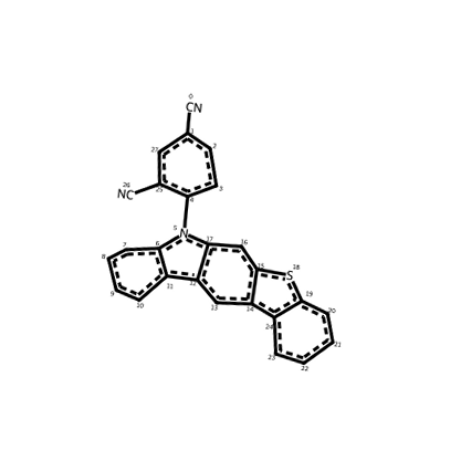 N#Cc1ccc(-n2c3ccccc3c3cc4c(cc32)sc2ccccc24)c(C#N)c1